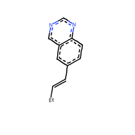 CCC=Cc1ccc2ncncc2c1